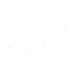 CC(CN1C[C@@H]2CNCCN2C1=S)C(=O)O.Cl